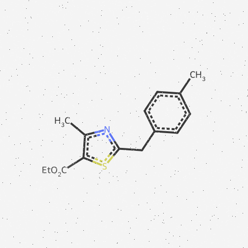 CCOC(=O)c1sc(Cc2ccc(C)cc2)nc1C